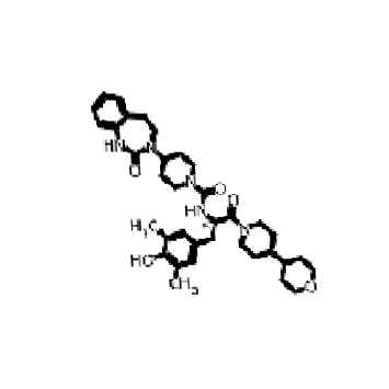 Cc1cc(C[C@@H](NC(=O)N2CCC(N3CCc4ccccc4NC3=O)CC2)C(=O)N2CCC(C3CCOCC3)CC2)cc(C)c1O